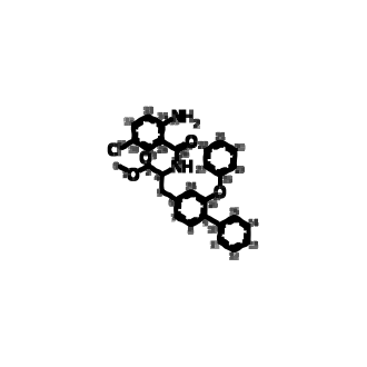 COC(=O)C(Cc1ccc(-c2ccccc2)c(Oc2ccccc2)c1)NC(=O)c1cc(Cl)ccc1N